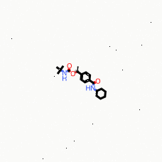 C[C@H](OC(=O)NC(C)(C)C)c1ccc(C(=O)NC2CCCCC2)cc1